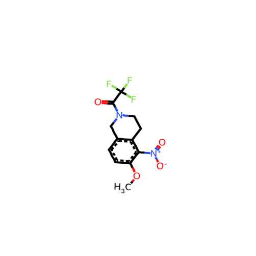 COc1ccc2c(c1[N+](=O)[O-])CCN(C(=O)C(F)(F)F)C2